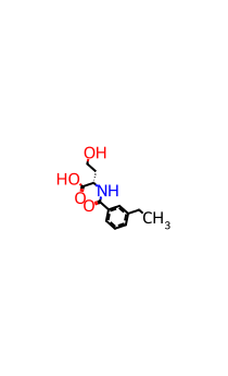 CCc1cccc(C(=O)N[C@@H](CCO)C(=O)O)c1